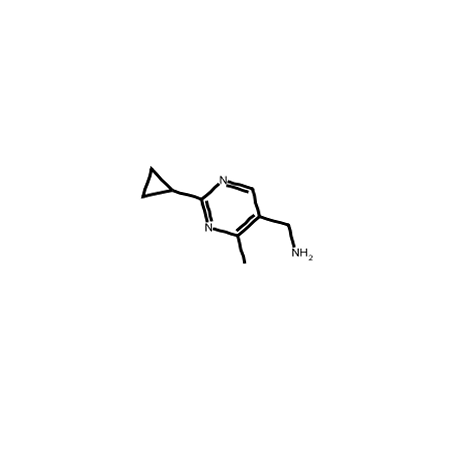 Cc1nc(C2CC2)ncc1CN